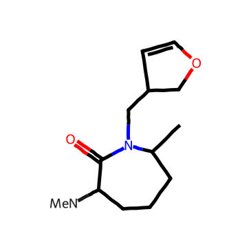 CNC1CCCC(C)N(CC2C=COC2)C1=O